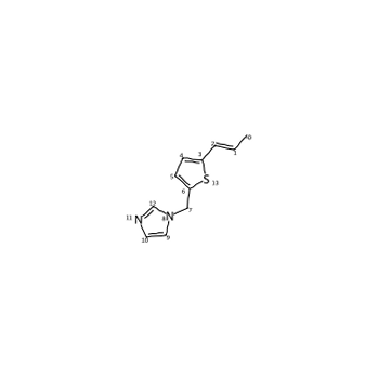 [CH2]/C=C/c1ccc(Cn2ccnc2)s1